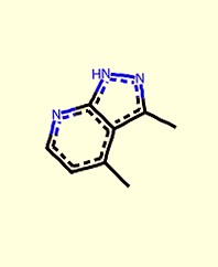 Cc1ccnc2[nH]nc(C)c12